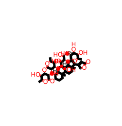 CC1OC(O[C@H]([C@H](O)C(C)O[C@H]2C(O)C(C)OC(O[C@H]3C(O)C(C)OC(O[C@H]4CCC5(C)C6CCC7(C)C(C8=CC(=O)OC8)CCC7(O)[C@@H]6CC[C@H]5C4)[C@H]3O)[C@H]2O)[C@@H](O)C(C)C)[C@@H](O)[C@@H](O)C1O